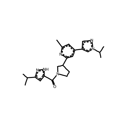 Cc1cc(-c2cnn(C(C)C)c2)cc(C2CCN(C(=O)c3cc(C(C)C)n[nH]3)C2)n1